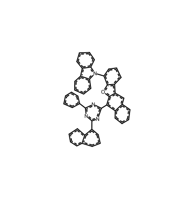 c1ccc(-c2nc(-c3cccc4ccccc34)nc(-c3c4ccccc4cc4c3oc3c(-n5c6ccccc6c6ccccc65)cccc34)n2)cc1